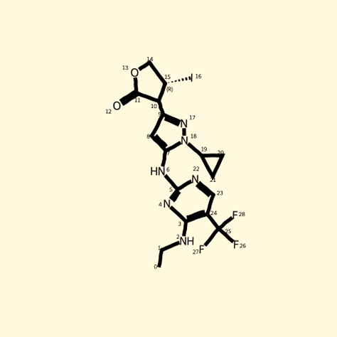 CCNc1nc(Nc2cc(C3C(=O)OC[C@@H]3I)nn2C2CC2)ncc1C(F)(F)F